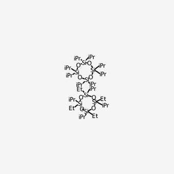 CC(C)[Si]1(C(C)C)O[Si](C(C)C)(C(C)C)O[Si](C(C)C)(C(C)C)O[Si](C(C)C)(C(C)C)O1.CC[Si]1(C(C)C)O[Si](CC)(C(C)C)O[Si](CC)(C(C)C)O[Si](CC)(C(C)C)O1